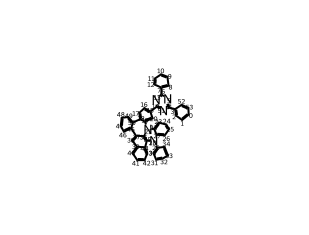 c1ccc(-c2nc(-c3ccccc3)nc(-c3ccc4c(c3)N3c5ccccc5N(c5ccccc5)c5c3c(cc3ccccc53)-c3ccccc3-4)n2)cc1